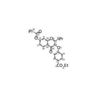 CCOC(=O)c1ccc(Oc2c(C(C)C)oc3cc(OC(=O)C(C)C)ccc3c2=O)cc1